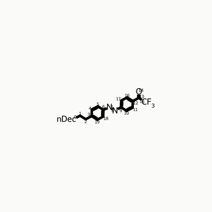 CCCCCCCCCCCCc1ccc(/N=N/c2ccc(C(=O)C(F)(F)F)cc2)cc1